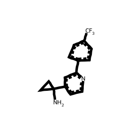 NC1(c2ccnc(-c3ccc(C(F)(F)F)cc3)c2)CC1